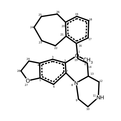 COc1cc2c(cc1N1CCNCC1CCc1cccc3c1CCCCC3)OCC2